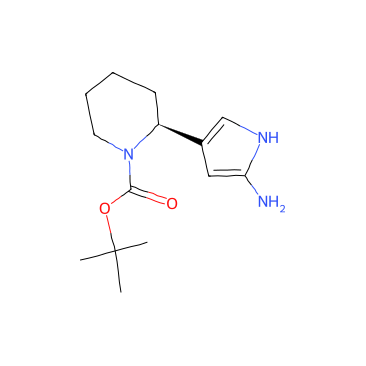 CC(C)(C)OC(=O)N1CCCC[C@H]1c1c[nH]c(N)c1